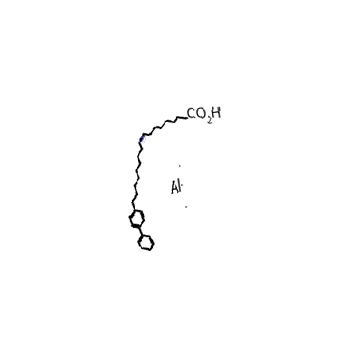 O=C(O)CCCCCCC/C=C\CCCCCCCCc1ccc(-c2ccccc2)cc1.[Al]